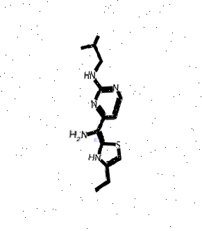 CCC1=CS/C(=C(/N)c2ccnc(NCC(C)C)n2)N1